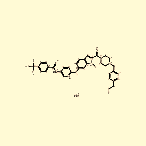 Br.CCCc1ccc(CN2CCN(C(=O)c3cc4ccc(Oc5ccc(NC(=O)c6ccc(C(F)(F)F)cc6)cn5)cc4n3C)CC2)cc1